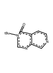 CC(C)(C)n1cnc2cnccc2c1=O